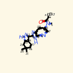 CN(C(=O)CC(C)(C)C)c1cnc2[nH]c(-c3n[nH]c4c3CCC(C)(C)C4)nc2c1